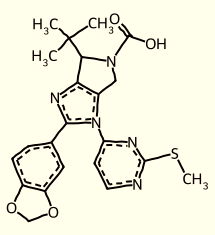 CSc1nccc(-n2c(-c3ccc4c(c3)OCO4)nc3c2CN(C(=O)O)C3C(C)(C)C)n1